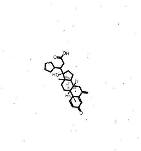 C=C1C[C@@H]2[C@@H](CC[C@@]3(C)[C@H]2CCC3(O)C(CC(=O)O)C2CCCC2)[C@@]2(C)C=CC(=O)C=C12